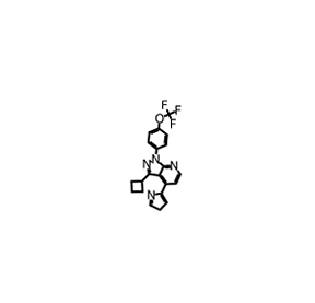 FC(F)(F)Oc1ccc(-n2nc(C3CCC3)c3c(C4=CCC=N4)ccnc32)cc1